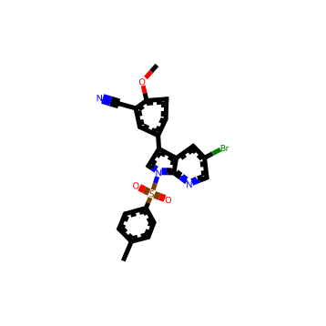 COc1ccc(-c2cn(S(=O)(=O)c3ccc(C)cc3)c3ncc(Br)cc23)cc1C#N